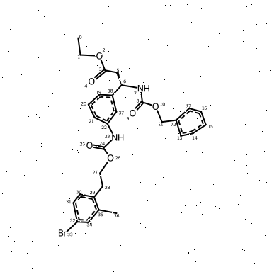 CCOC(=O)C[C@@H](NC(=O)OCc1ccccc1)c1cccc(NC(=O)OCCc2ccc(Br)cc2C)c1